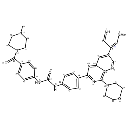 CN/C=C(\C=N)c1cnc2c(N3CCOCC3)nc(-c3ccc(NC(=O)Nc4ccc(C(=O)N5CCN(C)CC5)cc4)cc3)nc2c1